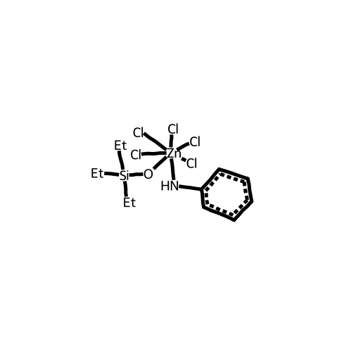 CC[Si](CC)(CC)[O][Zn]([Cl])([Cl])([Cl])([Cl])([Cl])[NH]c1ccccc1